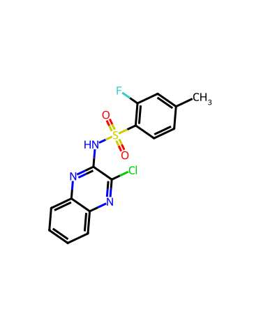 Cc1ccc(S(=O)(=O)Nc2nc3ccccc3nc2Cl)c(F)c1